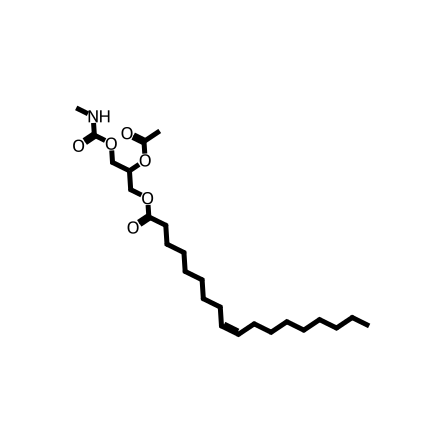 CCCCCCCC/C=C\CCCCCCCC(=O)OCC(COC(=O)NC)OC(C)=O